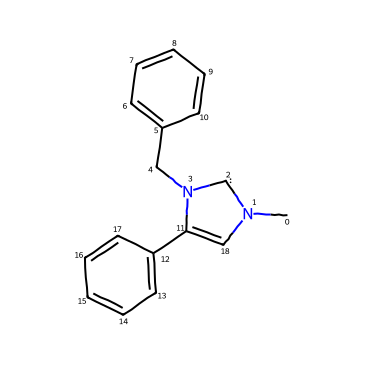 CN1[C]N(Cc2ccccc2)C(c2ccccc2)=C1